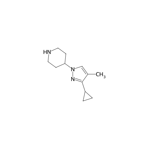 Cc1cn(C2CCNCC2)nc1C1CC1